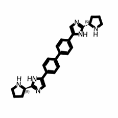 c1cc(-c2cnc([C@@H]3CCCN3)[nH]2)ccc1-c1ccc(-c2cnc([C@H]3CCCN3)[nH]2)cc1